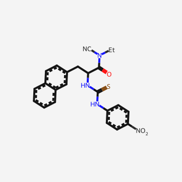 CCN(C#N)C(=O)C(Cc1ccc2ccccc2c1)NC(=S)Nc1ccc([N+](=O)[O-])cc1